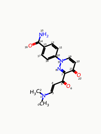 CN(C)C=CC(=O)c1nn(-c2ccc(C(N)=O)cc2)ccc1=O